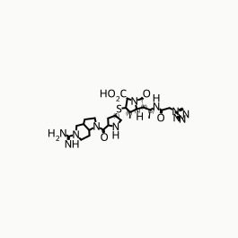 C[C@H](NC(=O)Cn1cnnn1)[C@H]1C(=O)N2C(C(=O)O)C(S[C@@H]3CNC(C(=O)N4CCC5CN(C(=N)N)CCC54)C3)[C@H](C)[C@H]12